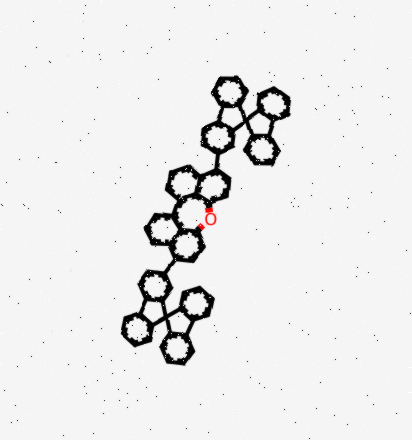 c1ccc2c(c1)-c1ccccc1C21c2ccccc2-c2ccc(-c3ccc4oc5ccc(-c6ccc7c(c6)C6(c8ccccc8-c8ccccc86)c6ccccc6-7)c6cccc(c7cccc3c47)c56)cc21